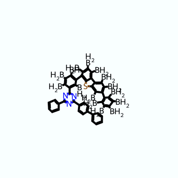 Bc1c(B)c(B)c(-c2c(B)c(B)c3c(sc4c(-c5c(B)c(B)c(B)c(-c6nc(-c7ccccc7)nc(-c7ccc(-c8ccccc8)cc7)n6)c5B)c(B)c(B)c(B)c43)c2B)c(B)c1B